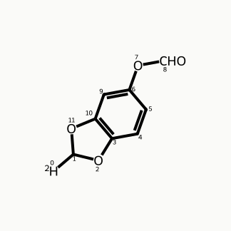 [2H]C1Oc2ccc(OC=O)cc2O1